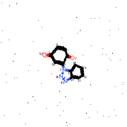 O=C1C=CC(=O)C(n2nnc3ccccc32)=C1